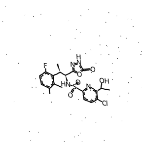 Cc1ccc(F)c([C@@H](C)[C@H](NS(=O)(=O)c2ccc(Cl)c(C(C)O)n2)c2n[nH]c(=O)o2)c1C